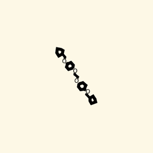 c1ccc(COc2ccc(OCCOc3ccc(OCc4ccccc4)cc3)cc2)cc1